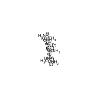 CCc1cc(C)c(NC(=O)c2ccc(C(=O)Nc3c(C)cc(CC)c(NC(=O)c4ccc(C(=O)Nc5c(C)cc(CC)c(N)c5CC)o4)c3CC)o2)c(CC)c1N